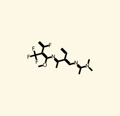 C=CC(=C\N=C(/C)N(C)C)/C(C)=N/C(OC)=C(\C(=C)F)C(F)(F)F